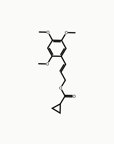 COc1cc(OC)c(OC)cc1/C=C/COC(=O)C1CC1